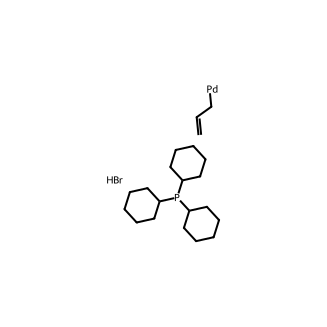 Br.C1CCC(P(C2CCCCC2)C2CCCCC2)CC1.C=C[CH2][Pd]